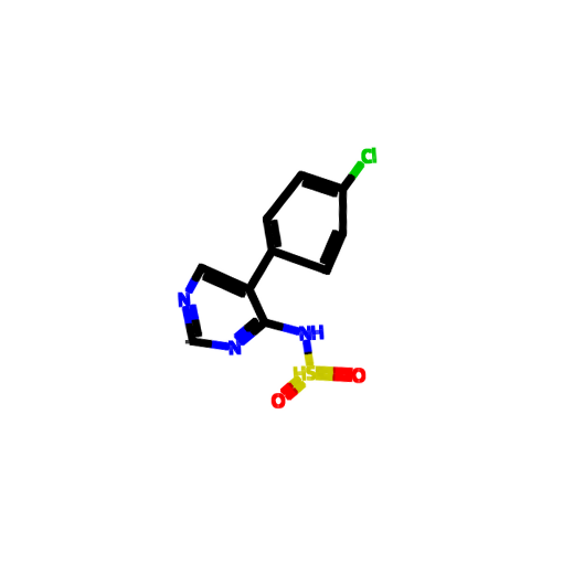 O=[SH](=O)Nc1n[c]ncc1-c1ccc(Cl)cc1